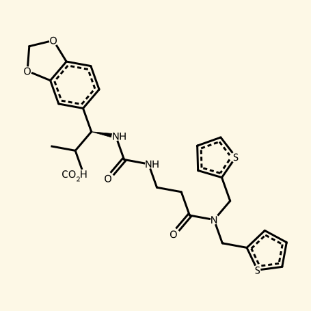 CC(C(=O)O)[C@H](NC(=O)NCCC(=O)N(Cc1cccs1)Cc1cccs1)c1ccc2c(c1)OCO2